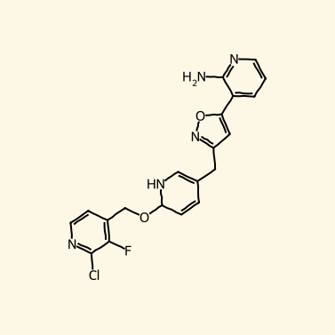 Nc1ncccc1-c1cc(CC2=CNC(OCc3ccnc(Cl)c3F)C=C2)no1